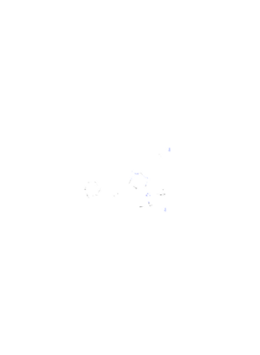 c1ccc2c(c1)CC[C@]1(CCc3c(nc(OC[C@@H]4CCCN4)nc3N3[C@@H]4CC[C@H]3CNC4)C1)C2